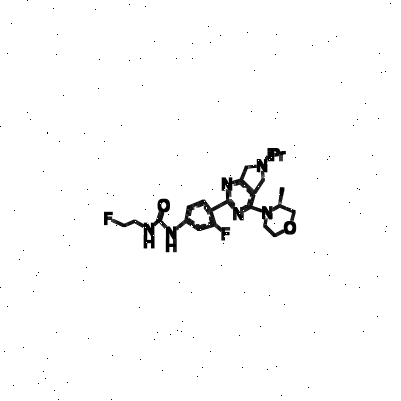 CC(C)N1Cc2nc(-c3ccc(NC(=O)NCCF)cc3F)nc(N3CCOC[C@@H]3C)c2C1